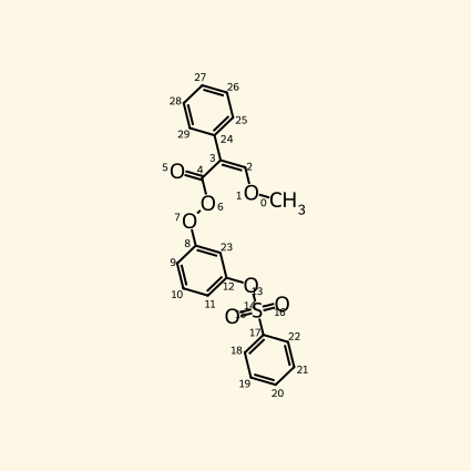 COC=C(C(=O)OOc1cccc(OS(=O)(=O)c2ccccc2)c1)c1ccccc1